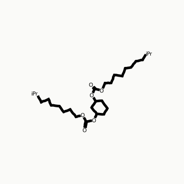 CC(C)CCCCCCCCOC(=O)OC1CCCC(OC(=O)OCCCCCCCC(C)C)C1